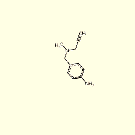 C#CCN(C)Cc1ccc(N)cc1